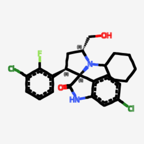 O=C1Nc2cc(Cl)ccc2[C@@]12[C@@H](c1cccc(Cl)c1F)C[C@H](CO)N2C1CCCCC1